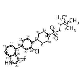 C[Si](C)(C)CCS(=O)(=O)N1CCC(c2ccc(-c3ccnc4[nH]cc(F)c34)cc2Cl)CC1